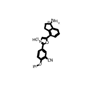 CC(C)Oc1ccc(-c2ncc(-c3cccc4c3CC[C@H]4N)o2)cc1C#N.Cl